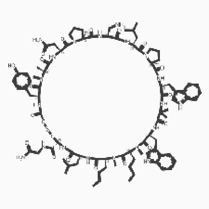 CCCC[C@H]1C(=O)N(C)[C@@H](CCCC)C(=O)N[C@@H](CC(C)C)C(=O)N[C@H](C(=O)NCC(N)=O)CSCC(=O)N[C@@H](Cc2ccc(O)cc2)C(=O)N(C)[C@@H](C)C(=O)N[C@@H](CC(N)=O)C(=O)N2CCC[C@H]2C(=O)N[C@@H](CN)C(=O)N[C@@H](CC(C)C)C(=O)N2CCC[C@H]2C(=O)N[C@@H](Cc2c[nH]c3ccccc23)C(=O)NC(C)(C)C(=O)N[C@@H](Cc2c[nH]c3ccccc23)C(=O)N1C